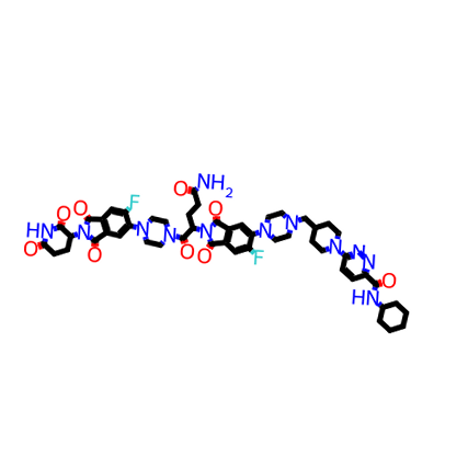 NC(=O)CCC(C(=O)N1CCN(c2cc3c(cc2F)C(=O)N(C2CCC(=O)NC2=O)C3=O)CC1)N1C(=O)c2cc(F)c(N3CCN(CC4CCN(c5ccc(C(=O)NC6CCCCC6)nn5)CC4)CC3)cc2C1=O